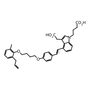 C=CCc1cccc(C)c1OCCCCOc1ccc(/C=C/c2cccc3c2c(CC(=O)O)cn3CCCC(=O)O)cc1